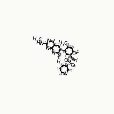 CNc1ncc2cc(-c3cc(NS(=O)(=O)c4cccnc4)c(F)cc3C)c(C)nc2n1